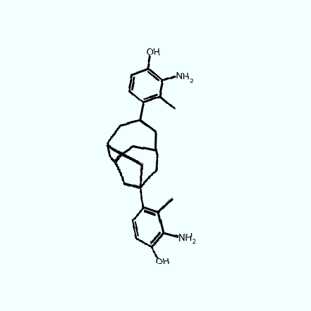 Cc1c(C2CC3CC4CC(c5ccc(O)c(N)c5C)(C3)CC4C2)ccc(O)c1N